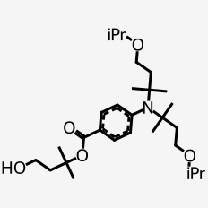 CC(C)OCCC(C)(C)N(c1ccc(C(=O)OC(C)(C)CCO)cc1)C(C)(C)CCOC(C)C